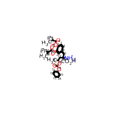 CC(C)C(C)C(=O)Oc1ccc(CC(N)(C[C@H](C)OC(=O)Oc2ccccc2)C(=O)O)cc1OC(=O)C(C)C(C)C